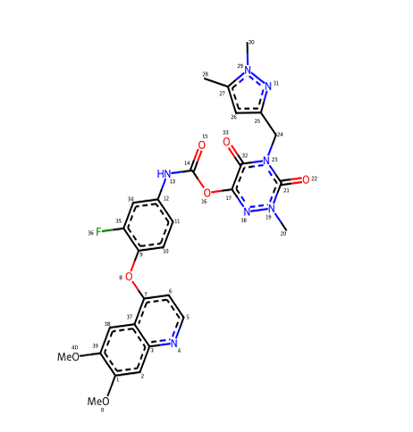 COc1cc2nccc(Oc3ccc(NC(=O)Oc4nn(C)c(=O)n(Cc5cc(C)n(C)n5)c4=O)cc3F)c2cc1OC